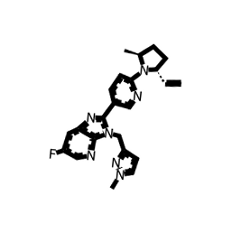 C=C[C@H]1CC[C@H](C)N1c1ccc(-c2nc3cc(F)cnc3n2Cc2ccn(C)n2)cn1